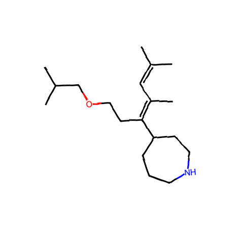 CC(C)=C/C(C)=C(\CCOCC(C)C)C1CCCNCC1